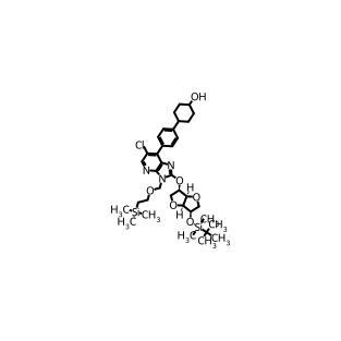 CC(C)(C)[Si](C)(C)O[C@@H]1CO[C@H]2[C@@H]1OC[C@H]2Oc1nc2c(-c3ccc(C4CCC(O)CC4)cc3)c(Cl)cnc2n1COCC[Si](C)(C)C